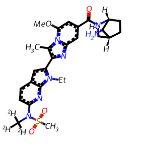 [2H]C([2H])([2H])N(c1ccc2cc(-c3nc4cc(C(=O)N5C[C@H]6CC[C@@H]5[C@@H]6N)cc(OC)n4c3C)n(CC)c2n1)S(C)(=O)=O